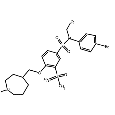 CCc1ccc(N(CC(C)C)S(=O)(=O)c2ccc(OCC3CCC[S+]([O-])CC3)c(S(C)(=N)=O)c2)cc1